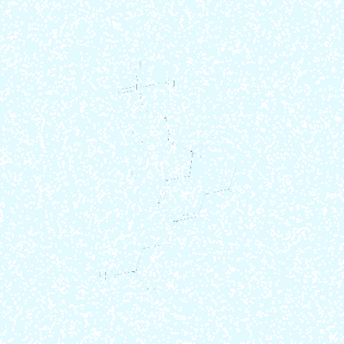 CC(C)c1cc(OCC(=O)O)cc2c1C(=O)N(COP(=O)(O)O)S2(=O)=O